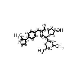 CCC[C@H](NC(C)O)C(=O)N1C[C@H](O)C[C@H]1C(=O)NCc1ccc(-c2scnc2C)cc1